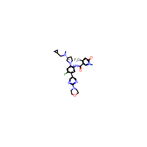 CN(CC1CC1)[C@@H]1CCN(c2cc(F)c(-c3cnc(N4CCOCC4)nc3)cc2NC(=O)c2cn(C)c(=O)cc2C(F)(F)F)C1